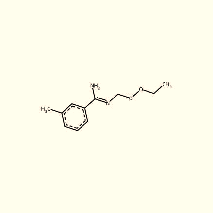 CCOOC/N=C(\N)c1cccc(C)c1